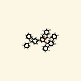 c1ccc(-n2c3ccccc3c3cc(-c4cccc(-n5c6ccccc6c6ccc7c8ccccc8n(-c8cccc9ccccc89)c7c65)c4)ccc32)cc1